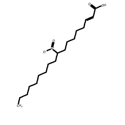 CCCCCCCCCC(CCCCC/C=C/C(=O)O)[N+](=O)[O-]